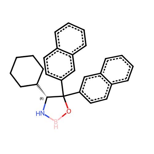 B1N[C@H](C2CCCCC2)C(c2ccc3ccccc3c2)(c2ccc3ccccc3c2)O1